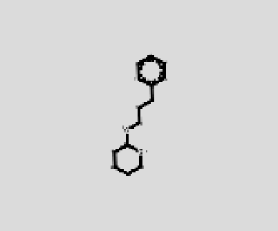 c1ccc(CCCOC2CCCCO2)cc1